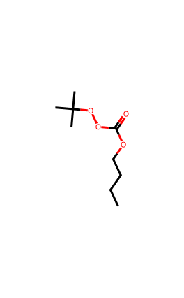 CCCCOC(=O)OOC(C)(C)C